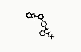 CC(C)(C)OC(=O)N1CCOCC1C(=O)N1CCN(c2cccc(-c3nc4ccccc4[nH]3)c2)CC1